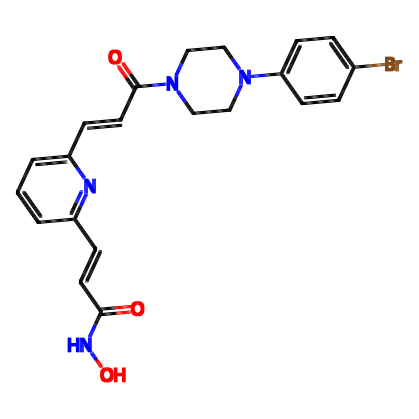 O=C(C=Cc1cccc(C=CC(=O)N2CCN(c3ccc(Br)cc3)CC2)n1)NO